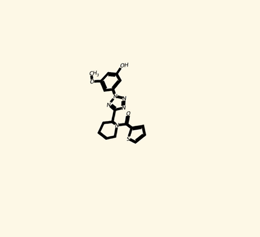 COc1cc(O)cc(-n2nnc(C3CCCCN3C(=O)c3cccs3)n2)c1